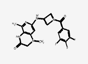 Cc1nc(NC2CN(C(=O)c3cc(F)c(F)c(F)c3)C2)cc2c1NC(=O)CN2C